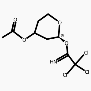 CC(=O)OC1CCO[C@@H](OC(=N)C(Cl)(Cl)Cl)C1